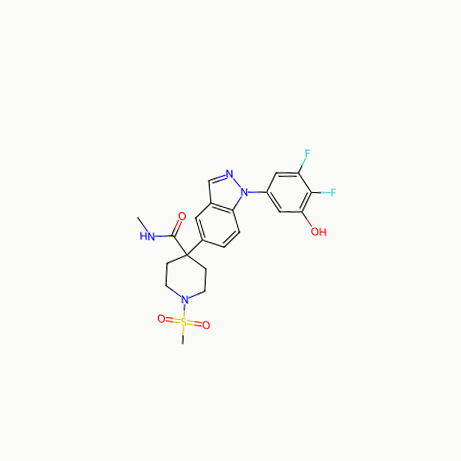 CNC(=O)C1(c2ccc3c(cnn3-c3cc(O)c(F)c(F)c3)c2)CCN(S(C)(=O)=O)CC1